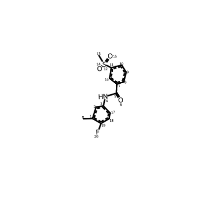 Cc1cc(NC(=O)c2cccc(S(C)(=O)=O)c2)ccc1F